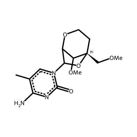 COC[C@@]12CCOC(C(n3cc(C)c(N)nc3=O)O1)C2OC